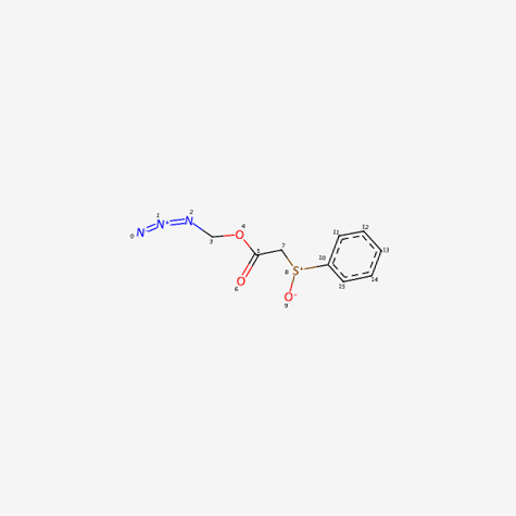 [N-]=[N+]=NCOC(=O)C[S+]([O-])c1ccccc1